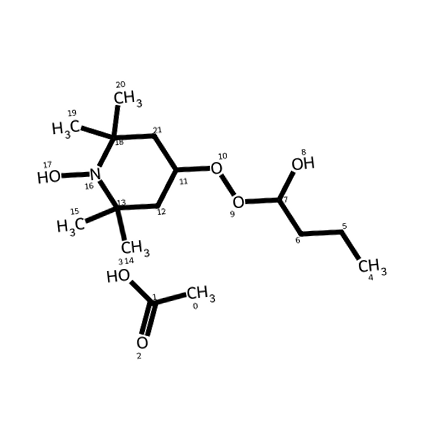 CC(=O)O.CCCC(O)OOC1CC(C)(C)N(O)C(C)(C)C1